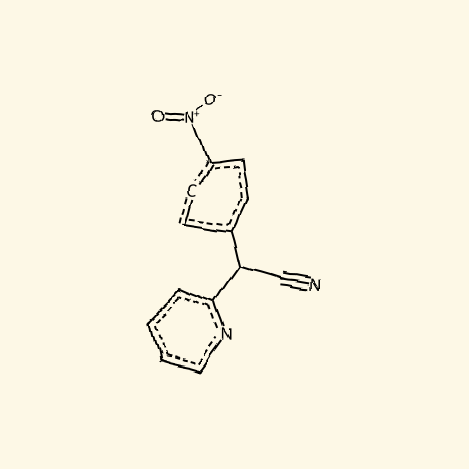 N#CC(c1ccc([N+](=O)[O-])cc1)c1ccccn1